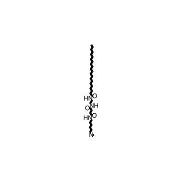 CCCCCCCCCCCCCCCCCCCCCC(=O)NCCNC(=O)CCC(=O)NCCCCCCN(C)C